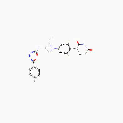 Cc1ccc(-c2nnc(N[C@H]3CN(c4cc(F)c(C5CCC(=O)NC5=O)c(F)c4)[C@@H]3C)o2)cc1